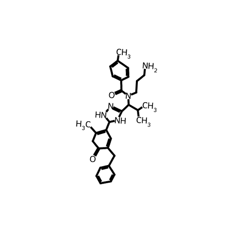 CC1=C(C2NN=C(C(C(C)C)N(CCCN)C(=O)c3ccc(C)cc3)N2)C=C(Cc2ccccc2)C(=O)C1